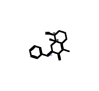 C=C1C(C)=C2CCC[C@H](O)[C@@]2(C)C/C1=C\c1ccccc1